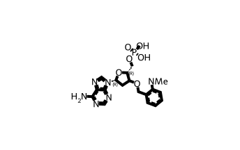 CNc1ccccc1COC1C[C@H](n2cnc3c(N)ncnc32)O[C@@H]1COP(=O)(O)O